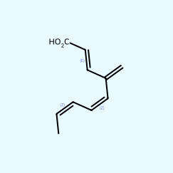 C=C(/C=C\C=C/C)/C=C/C(=O)O